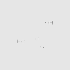 CC(=CCC(C)O)C(=O)OCCO